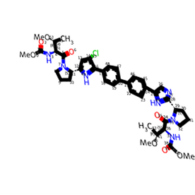 COC(=O)N[C@H](C(=O)N1CCC[C@H]1c1cc(Cl)c(-c2ccc(-c3ccc(-c4cnc([C@@H]5CCCN5C(=O)[C@@H](NC(=O)OC)[C@@H](C)OC)[nH]4)cc3)cc2)[nH]1)[C@@H](C)OC